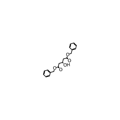 O=C(CC(O)CC(=O)OCc1ccccc1)OCc1ccccc1